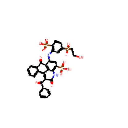 O=C(c1ccccc1)c1c2c3c(c(Nc4cc(S(=O)(=O)CCO)ccc4S(=O)(=O)O)cc(S(=O)(=O)O)c3[nH]c1=O)C(=O)c1ccccc1-2